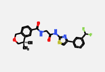 C[C@@]1(C#N)COCc2ccc(C(=O)NCC(=O)Nc3nc(-c4cccc(C(F)F)c4)cs3)cc21